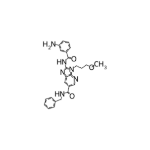 COCCCn1c(NC(=O)c2cccc(N)c2)nc2cc(C(=O)NCc3ccccc3)cnc21